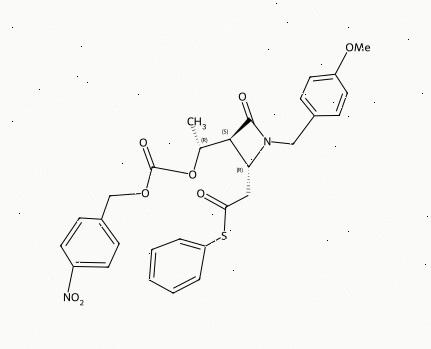 COc1ccc(CN2C(=O)[C@H]([C@@H](C)OC(=O)OCc3ccc([N+](=O)[O-])cc3)[C@H]2CC(=O)Sc2ccccc2)cc1